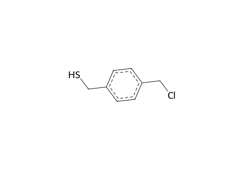 SCc1ccc(CCl)cc1